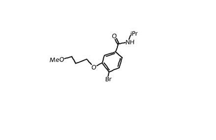 COCCCOc1cc(C(=O)NC(C)C)ccc1Br